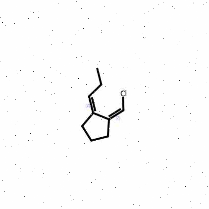 CC/C=C1/CCC/C1=C/Cl